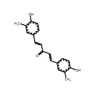 Cc1cc(/C=C/C(=O)/C=C/c2ccc(O)c(C)c2)ccc1O